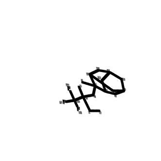 CCC(C)(CC1(C)C2CC3CC(C2)CC1C3)C(F)(F)F